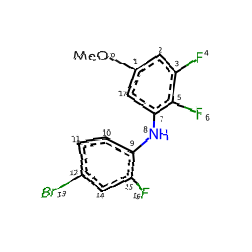 COc1cc(F)c(F)c(Nc2ccc(Br)cc2F)c1